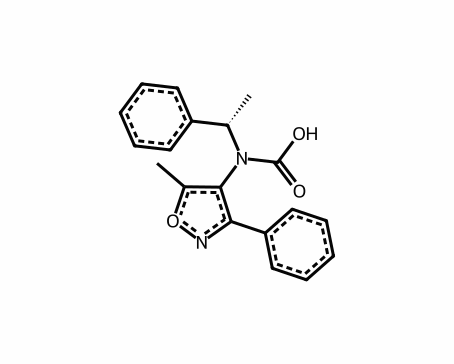 Cc1onc(-c2ccccc2)c1N(C(=O)O)[C@@H](C)c1ccccc1